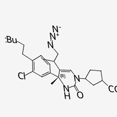 CC(CN=[N+]=[N-])C1=CN(C2CCC(C(=O)O)C2)C(=O)N[C@]1(C)c1ccc(CCC(C)(C)C)c(Cl)c1